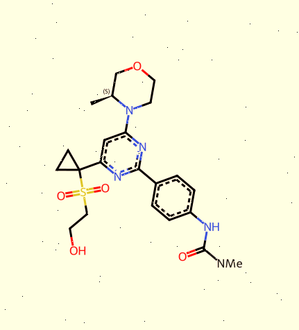 CNC(=O)Nc1ccc(-c2nc(N3CCOC[C@@H]3C)cc(C3(S(=O)(=O)CCO)CC3)n2)cc1